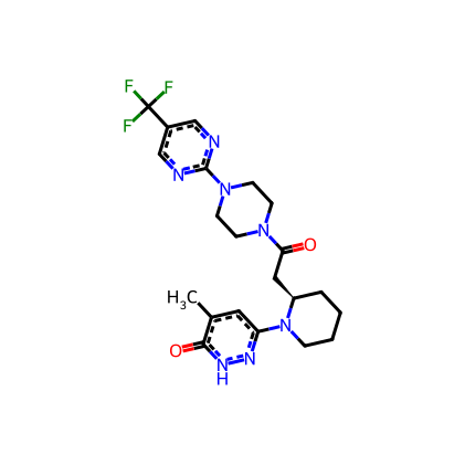 Cc1cc(N2CCCC[C@@H]2CC(=O)N2CCN(c3ncc(C(F)(F)F)cn3)CC2)n[nH]c1=O